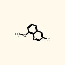 CCc1cnc2c(O[N+](=O)[O-])cccc2c1